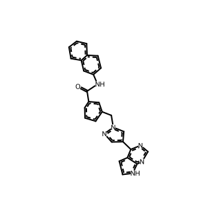 O=C(Nc1ccc2ccccc2c1)c1cccc(Cn2cc(-c3ncnc4[nH]ccc34)cn2)c1